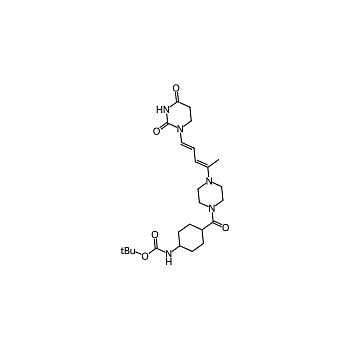 C/C(=C\C=C\N1CCC(=O)NC1=O)N1CCN(C(=O)C2CCC(NC(=O)OC(C)(C)C)CC2)CC1